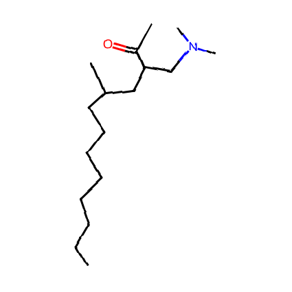 CCCCCCCCC(C)CC(CN(C)C)C(C)=O